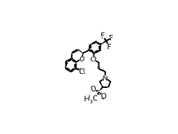 CS(=O)(=O)C1CCN(CCCOc2cc(C(F)(F)F)ccc2C2C=Cc3cccc(Cl)c3O2)C1